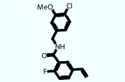 C=Cc1ccc(F)c(C(=O)NCc2ccc(Cl)c(OC)c2)c1